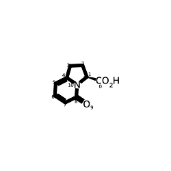 O=C(O)[C@@H]1CCc2cccc(=O)n21